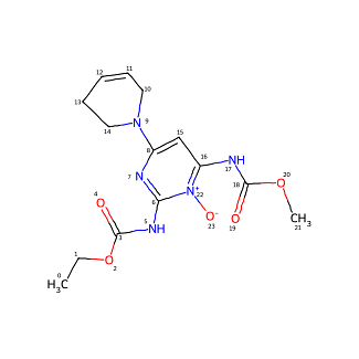 CCOC(=O)Nc1nc(N2CC=CCC2)cc(NC(=O)OC)[n+]1[O-]